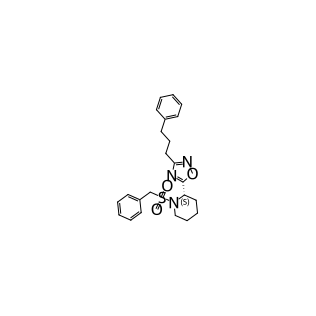 O=S(=O)(Cc1ccccc1)N1CCCC[C@H]1c1nc(CCCc2ccccc2)no1